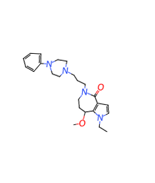 CCn1ccc2c1C(OC)CCN(CCCN1CCN(c3ccccc3)CC1)C2=O